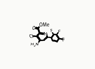 COC(=O)c1nc(-c2ccc(F)c(F)c2F)cc(N)c1Cl